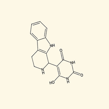 O=c1[nH]c(O)c(C2NCCc3c2[nH]c2ccccc32)c(=O)[nH]1